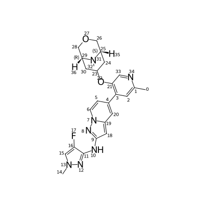 Cc1cc(-c2ccn3nc(Nc4nn(C)cc4F)cc3c2)c(OC2C[C@H]3COC[C@@H](C2)N3C)cn1